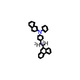 [2H]/C(=C(/[2H])c1cc2ccccc2c2ccccc12)c1ccc(N(c2ccccc2)c2ccc3ccccc3c2)cc1